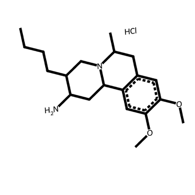 CCCCC1CN2C(C)Cc3cc(OC)c(OC)cc3C2CC1N.Cl